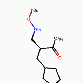 CCCCONC[C@H](CC1CCCC1)C(=O)OC